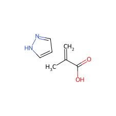 C=C(C)C(=O)O.c1cn[nH]c1